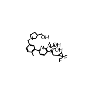 Cc1ccc(CN2CCC(CO)C2)cc1-c1ccc2c(n1)N(C)S(O)(O)N2CC1CC1(F)F